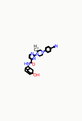 C[C@@H]1CN(c2ccc(C#N)cc2)CCN1c1nccc(C(=O)NC2C3CC4CC2CC(O)(C4)C3)n1